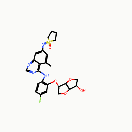 Cc1cc(N=S2(=O)CCCC2)cc2ncnc(Nc3ccc(F)cc3O[C@@H]3COC4C3OC[C@H]4O)c12